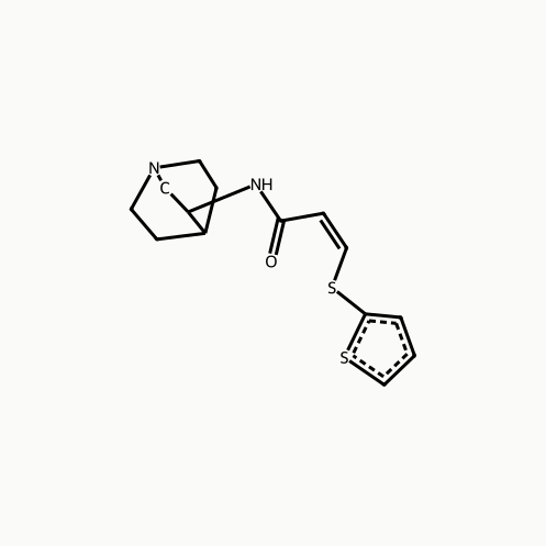 O=C(/C=C\Sc1cccs1)NC1CN2CCC1CC2